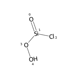 O=[Si](Cl)OO